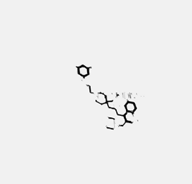 COc1ccc2ncc(CN3CCOCC3)c(CCCC3(C(=O)NO)CCN(CCNc4cc(F)cc(F)c4)CC3)c2c1